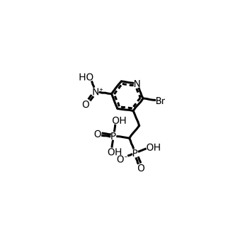 O=[N+](O)c1cnc(Br)c(CC(P(=O)([O-])O)P(=O)(O)O)c1